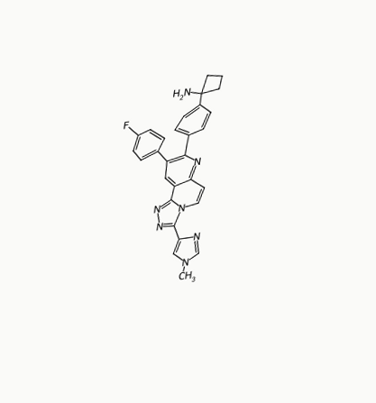 Cn1cnc(-c2nnc3c4cc(-c5ccc(F)cc5)c(-c5ccc(C6(N)CCC6)cc5)nc4ccn23)c1